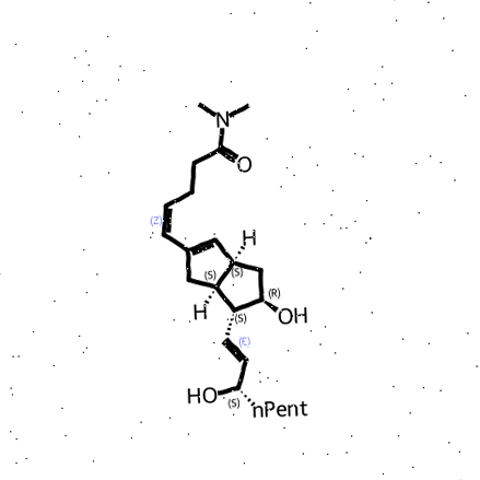 CCCCC[C@H](O)/C=C/[C@@H]1[C@H]2CC(/C=C\CCC(=O)N(C)C)=C[C@H]2C[C@H]1O